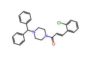 O=C(/C=C/c1ccccc1Cl)N1CCN(C(c2ccccc2)c2ccccc2)CC1